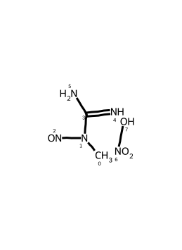 CN(N=O)C(=N)N.O=[N+]([O-])O